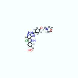 OCc1cccc(Nc2c(Cl)cnc3[nH]c(-c4ccc(OCCN5CCOCC5)cc4)nc23)c1